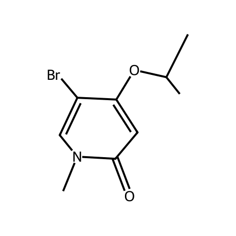 CC(C)Oc1cc(=O)n(C)cc1Br